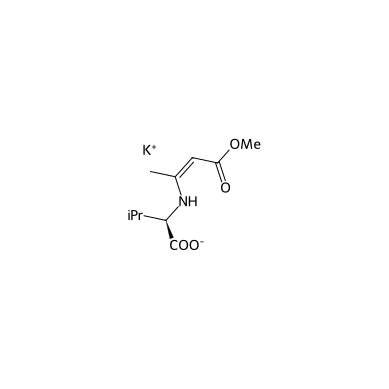 COC(=O)C=C(C)N[C@@H](C(=O)[O-])C(C)C.[K+]